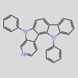 c1ccc(-n2c3cnccc3c3c2ccc2c4ccccc4n(-c4ccccc4)c23)cc1